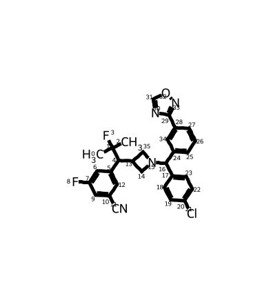 CC(C)(F)C(c1cc(F)cc(C#N)c1)C1CN(C(c2ccc(Cl)cc2)c2cccc(-c3ncon3)c2)C1